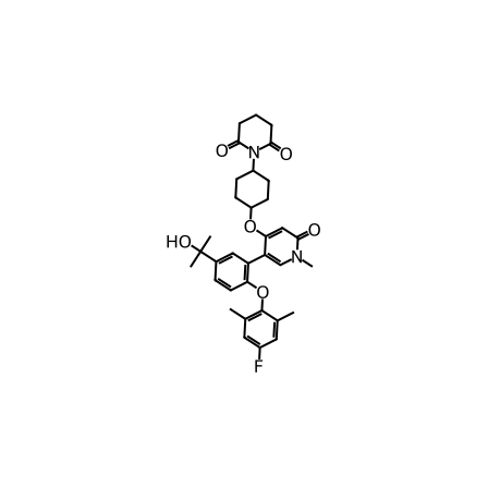 Cc1cc(F)cc(C)c1Oc1ccc(C(C)(C)O)cc1-c1cn(C)c(=O)cc1OC1CCC(N2C(=O)CCCC2=O)CC1